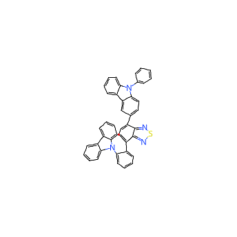 c1ccc(-n2c3ccccc3c3cc(-c4ccc(-c5ccccc5-n5c6ccccc6c6ccccc65)c5nsnc45)ccc32)cc1